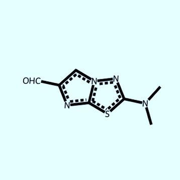 CN(C)c1nn2cc(C=O)nc2s1